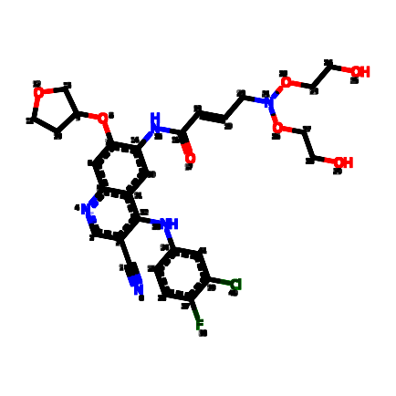 N#Cc1cnc2cc(OC3CCOC3)c(NC(=O)C=CCN(OCCO)OCCO)cc2c1Nc1ccc(F)c(Cl)c1